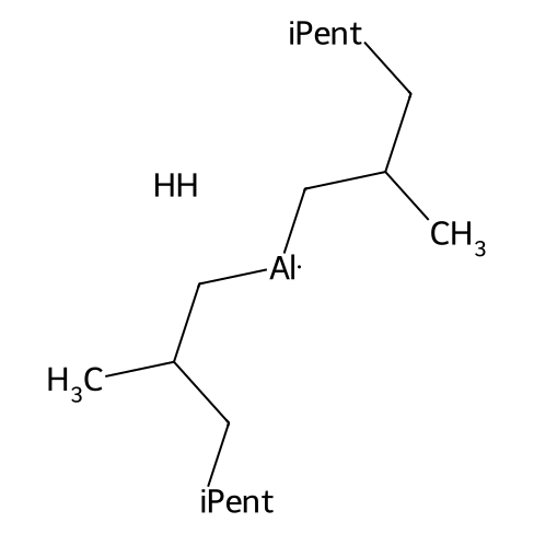 CCCC(C)CC(C)[CH2][Al][CH2]C(C)CC(C)CCC.[HH]